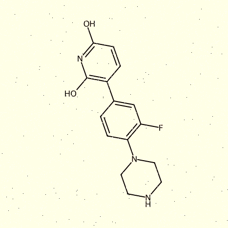 Oc1ccc(-c2ccc(N3CCNCC3)c(F)c2)c(O)n1